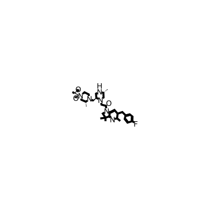 CC1N=C2C(=CC1Cc1ccc(F)cc1)N(C(=O)CN1C[C@@H](C)NC[C@@H]1CN1CCN(S(C)(=O)=O)C[C@H]1C)CC2(C)C